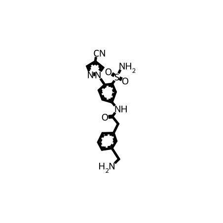 N#Cc1cnn(-c2ccc(NC(=O)Cc3cccc(CN)c3)cc2S(N)(=O)=O)c1